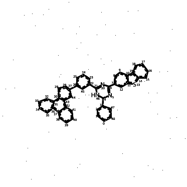 c1ccc(C2N=C(c3ccc4c(c3)sc3ccccc34)N=C(c3cccc(-c4ccc5c6ccccc6c6ccccc6c5c4)c3)N2)cc1